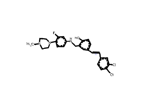 CN1CCN(c2ccc(NCc3cc(/C=C/c4ccc(Cl)c(Cl)c4)ccc3O)cc2F)CC1